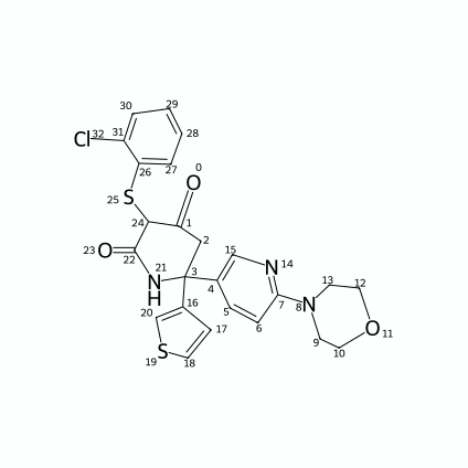 O=C1CC(c2ccc(N3CCOCC3)nc2)(c2ccsc2)NC(=O)C1Sc1ccccc1Cl